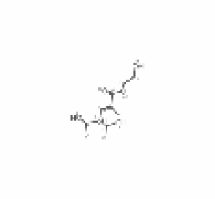 CC(=C[SH](C(C)O)C(C)O)C(=O)OCCO